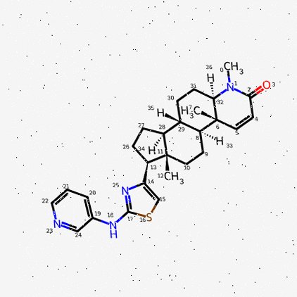 CN1C(=O)C=C[C@]2(C)[C@H]3CC[C@]4(C)[C@@H](c5csc(Nc6cccnc6)n5)CC[C@H]4[C@@H]3CC[C@@H]12